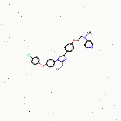 CC(C)CC1=NC(c2ccc(OCCN(C)c3ccncc3)cc2)CN1c1ccc(Oc2ccc(Cl)cc2)cc1